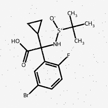 CC(C)(C)[S+]([O-])NC(C(=O)O)(c1cc(Br)ccc1F)C1CC1